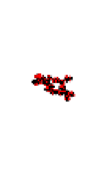 c1cc(-c2ccc3ccccc3c2)cc(N(c2ccc(-c3cc(-c4ccc5ccccc5c4)cc(-c4ccc5cc(-c6cccc(N(c7ccc(-c8ccccc8-c8cccc9ccccc89)cc7)c7ccc8c9ccccc9c9ccccc9c8c7)c6)ccc5c4)c3)cc2)c2ccc3c4ccccc4c4ccccc4c3c2)c1